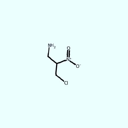 NCC(CCl)[N+](=O)[O-]